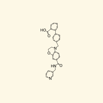 O=C(NCc1cccnc1)c1ccc2c(c1)OCCN2Cc1ccc(-c2ccccc2C(=O)O)cc1